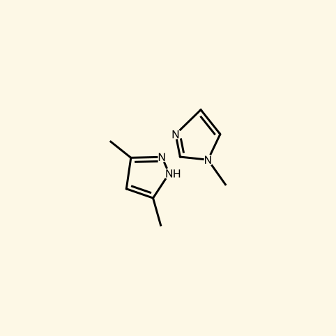 Cc1cc(C)[nH]n1.Cn1ccnc1